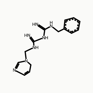 N=C(NCc1ccccc1)NC(=N)NCN1C=NC=CC1